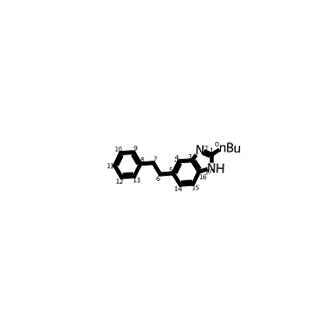 CCCCc1nc2[c]c(CCc3ccccc3)ccc2[nH]1